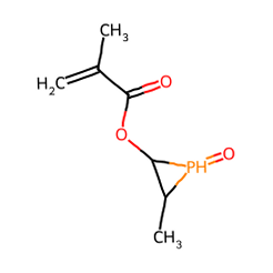 C=C(C)C(=O)OC1C(C)[PH]1=O